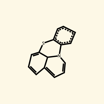 C1=CC2=CC=CN3c4ccccc4SC(=C1)C23